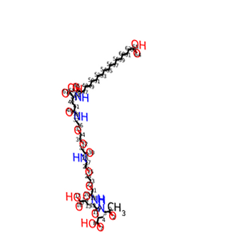 CC(=O)[C@H](CCC(=O)O)NC(=O)[C@H](CCC(=O)O)NC(=O)COCCOCCNC(=O)COCCOCCNC(=O)CCC(NC(=O)CCCCCCCCCCCCCCCCC(=O)O)C(=O)O